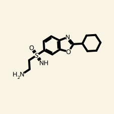 N=S(=O)(CCN)c1ccc2nc(C3CCCCC3)oc2c1